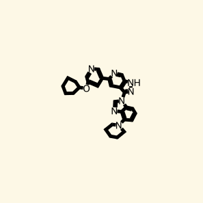 c1cc(N2CCCCC2)c2ncn(-c3n[nH]c4cnc(-c5cncc(OC6CCCCC6)c5)cc34)c2c1